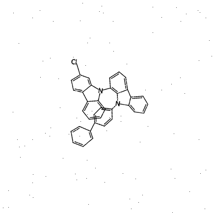 Clc1ccc2c3ccccc3n(-c3cccc4c5ccccc5n(-c5ccc(-c6ccccc6)cc5)c34)c2c1